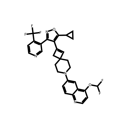 FC(F)Oc1ccnc2ccc(N3CCC4(C=C(c5c(-c6cnccc6C(F)(F)F)noc5C5CC5)C4)CC3)cc12